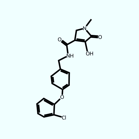 CN1CC(C(=O)NCc2ccc(Oc3ccccc3Cl)cc2)=C(O)C1=O